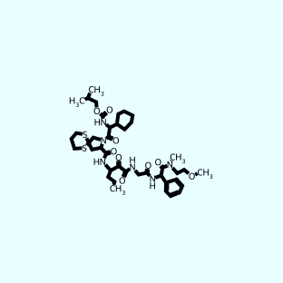 CCCC(NC(=O)C1CC2(CN1C(=O)C(NC(=O)OCC(C)C)C1CCCCC1)SCCCS2)C(=O)C(=O)NCC(=O)NC(C(=O)N(C)CCOC)c1ccccc1